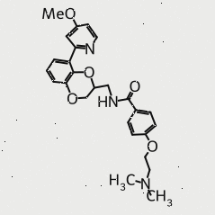 COc1ccnc(-c2cccc3c2OC(CNC(=O)c2ccc(OCCN(C)C)cc2)CO3)c1